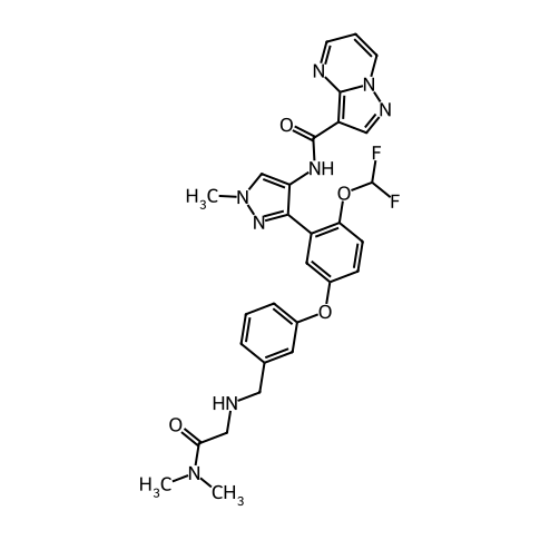 CN(C)C(=O)CNCc1cccc(Oc2ccc(OC(F)F)c(-c3nn(C)cc3NC(=O)c3cnn4cccnc34)c2)c1